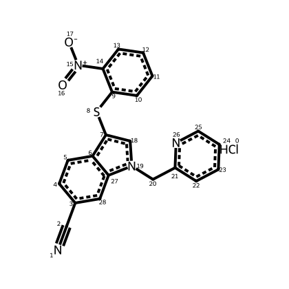 Cl.N#Cc1ccc2c(Sc3ccccc3[N+](=O)[O-])cn(Cc3ccccn3)c2c1